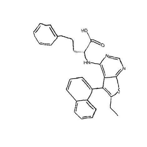 CCc1sc2ncnc(N[C@H](CCc3ccccc3)C(=O)O)c2c1-c1cccc2ccccc12